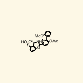 COc1ccccc1-c1nc(C(=O)N[C@@H](CC(=O)O)c2ccccc2F)ccc1OC